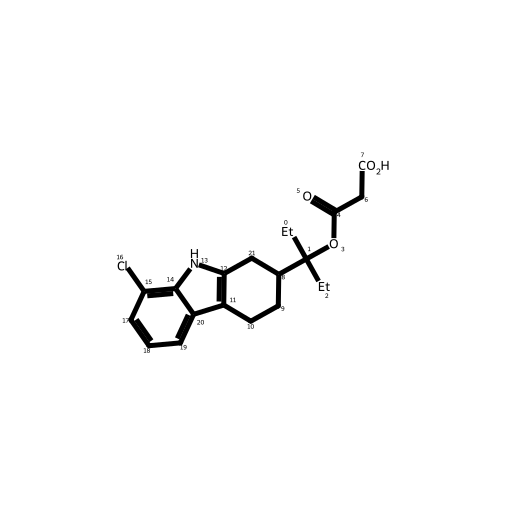 CCC(CC)(OC(=O)CC(=O)O)C1CCc2c([nH]c3c(Cl)cccc23)C1